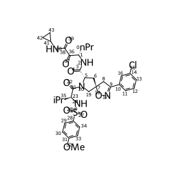 CCC[C@H](NC(=O)[C@@H]1C[C@]2(CC(c3cccc(Cl)c3)=NO2)CN1C(=O)[C@@H](NS(=O)(=O)c1ccc(OC)cc1)C(C)C)C(=O)C(=O)NC1CC1